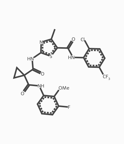 COc1c(F)cccc1NC(=O)C1(C(=O)Nc2nc(C)c(C(=O)Nc3cc(C(F)(F)F)ccc3Cl)s2)CC1